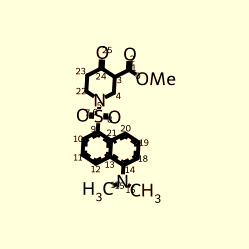 COC(=O)C1CN(S(=O)(=O)c2cccc3c(N(C)C)cccc23)CCC1=O